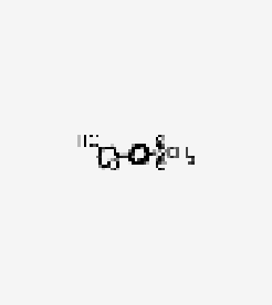 CS(=O)(=O)c1ccc(C2CC(O)CCO2)cc1